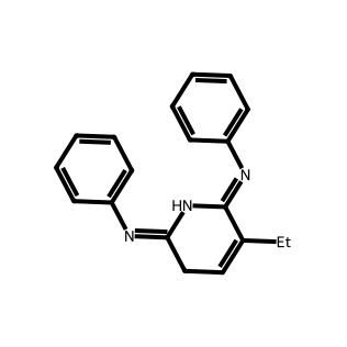 CCC1=CCC(=Nc2ccccc2)NC1=Nc1ccccc1